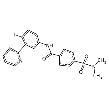 CN(C)S(=O)(=O)c1ccc(C(=O)Nc2ccc(I)c(-c3ccccn3)c2)cc1